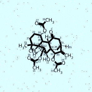 C=C1[C@@H]2CC(=O)[C@H]3[C@@]45CO[C@](O)([C@@H](OC(C)=O)[C@@H]4C(C)(C)CC[C@@H]5OC(C)=O)[C@]3(C2)[C@@H]1OC(C)=O